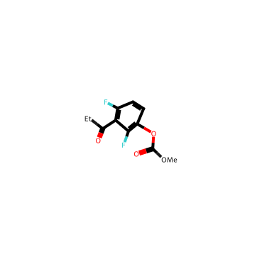 CCC(=O)c1c(F)ccc(OC(=O)OC)c1F